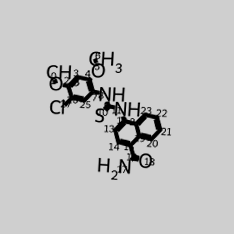 COc1cc(OC)c(NC(=S)Nc2ccc(C(N)=O)c3ccccc23)cc1Cl